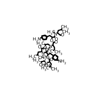 CC(C)CC(C(=O)OC(Cc1ccc(N)cc1)C(=O)N(C)C(C=O)CC(C)C)N(C)CC(C)OC(=O)C(CC(C)C)N(C)C(=O)C(Cc1ccc(N)cc1)OC(=O)C(CC(C)C)N(C)CC(C)O